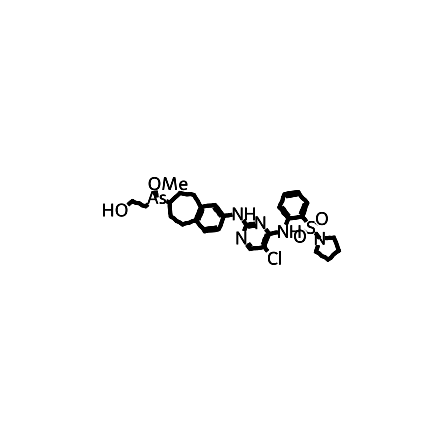 CO[As](CCO)C1CCc2ccc(Nc3ncc(Cl)c(Nc4ccccc4S(=O)(=O)N4CCCC4)n3)cc2CC1